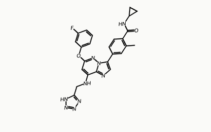 Cc1cc(-c2cnc3c(NCc4nnn[nH]4)cc(Oc4cccc(F)c4)nn23)ccc1C(=O)NC1CC1